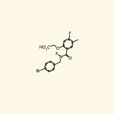 Cc1cc(C(=O)N(F)Cc2ccc(Br)cc2)c(OCC(=O)O)cc1F